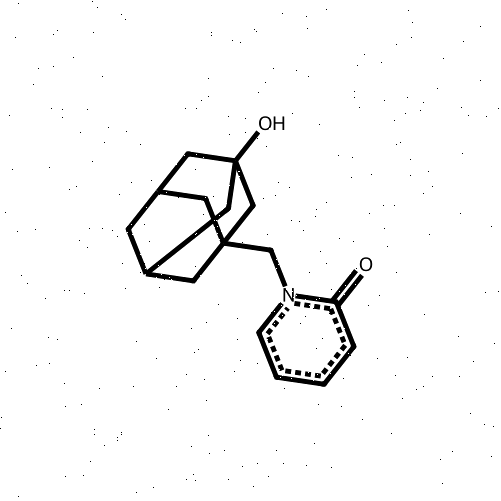 O=c1ccccn1CC12CC3CC(CC(O)(C3)C1)C2